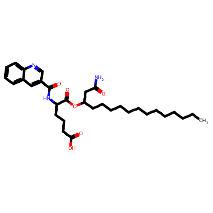 CCCCCCCCCCCCCC(CC(N)=O)OC(=O)C(CCCC(=O)O)NC(=O)c1cnc2ccccc2c1